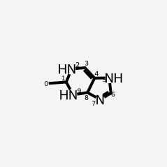 CC1NC=C2NC=NC2N1